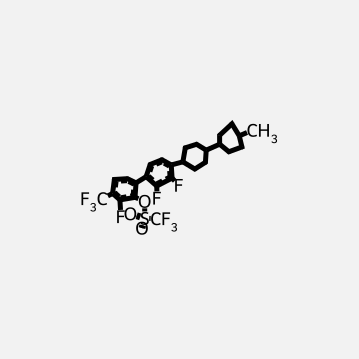 CC1CCC(C2CCC(c3ccc(-c4ccc(C(F)(F)F)c(F)c4OS(=O)(=O)C(F)(F)F)c(F)c3F)CC2)CC1